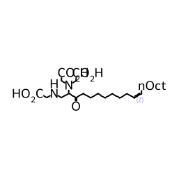 CCCCCCCC/C=C\CCCCCCCC(=O)C(CNCC(=O)O)N(CC(=O)O)CC(=O)O